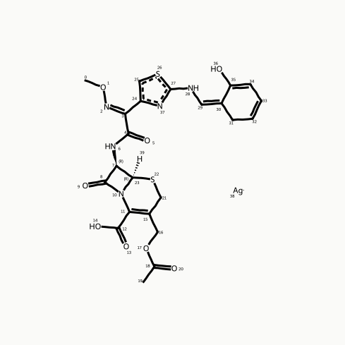 CON=C(C(=O)N[C@@H]1C(=O)N2C(C(=O)O)=C(COC(C)=O)CS[C@H]12)c1csc(NC=C2CC=CC=C2O)n1.[Ag]